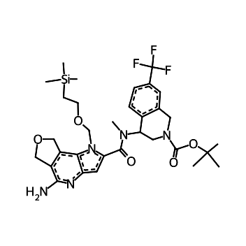 CN(C(=O)c1cc2nc(N)c3c(c2n1COCC[Si](C)(C)C)COC3)C1CN(C(=O)OC(C)(C)C)Cc2cc(C(F)(F)F)ccc21